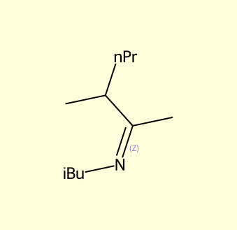 CCCC(C)/C(C)=N\C(C)CC